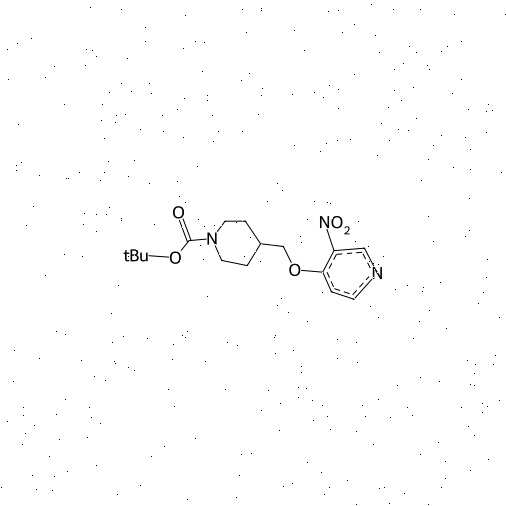 CC(C)(C)OC(=O)N1CCC(COc2ccncc2[N+](=O)[O-])CC1